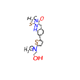 CN1C(=O)/C(=C/c2ccc(-c3ccc(N(C)CCO)s3)cc2)NC1=S